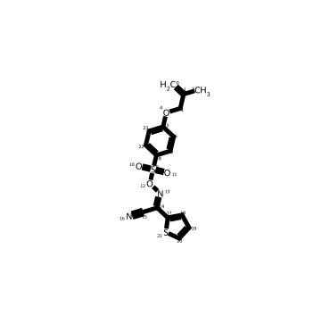 C=C(C)COc1ccc(S(=O)(=O)O/N=C(\C#N)c2cccs2)cc1